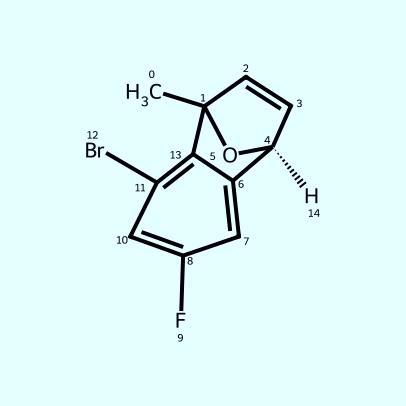 CC12C=C[C@H](O1)c1cc(F)cc(Br)c12